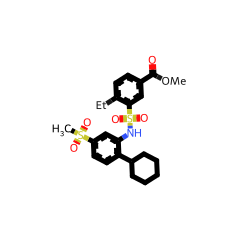 CCc1ccc(C(=O)OC)cc1S(=O)(=O)Nc1cc(S(C)(=O)=O)ccc1C1CCCCC1